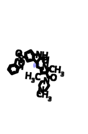 Cc1[nH]c(/C=C2\C(=O)Nc3ccc(S(=O)(=O)Cc4ccccc4I)cc32)c(C)c1C(=O)N1CCN(C)CC1